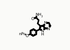 CCCOc1ccc(-c2[nH]c3nccnc3c2CCC(N)=O)cc1